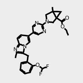 CCOC(=O)C12CN(c3ncc(-c4ccc5nc(C)c(Cc6ccccc6OC(F)F)n5c4)cn3)CC1(C)C2